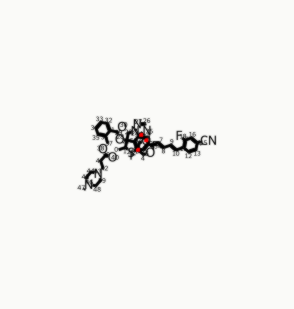 CC(SC1COC(C=CC=Cc2ccc(C#N)cc2F)OC1)C(Cn1cncn1)(OC(=O)c1ccccc1COC(=O)CCN1CCN(C)CC1)c1ccc(F)cc1F